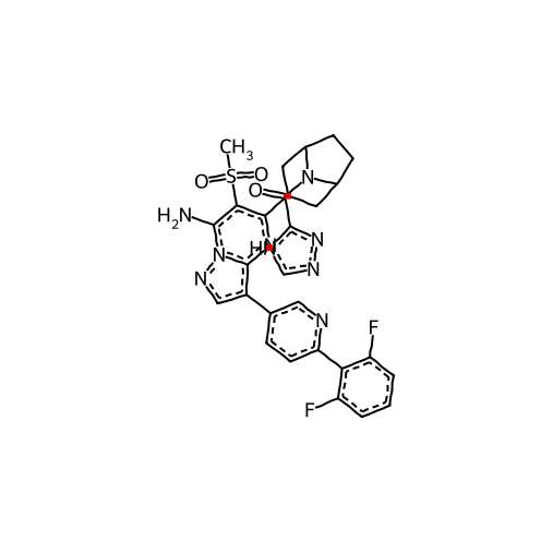 CS(=O)(=O)c1c(C2CC3CCC(C2)N3C(=O)c2nnc[nH]2)nc2c(-c3ccc(-c4c(F)cccc4F)nc3)cnn2c1N